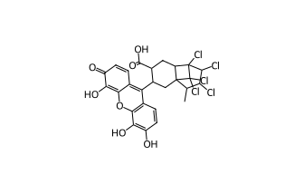 CC1C(Cl)C(Cl)C2(Cl)C3CC(C(=O)O)C(c4c5ccc(=O)c(O)c-5oc5c(O)c(O)ccc45)CC13C2(Cl)Cl